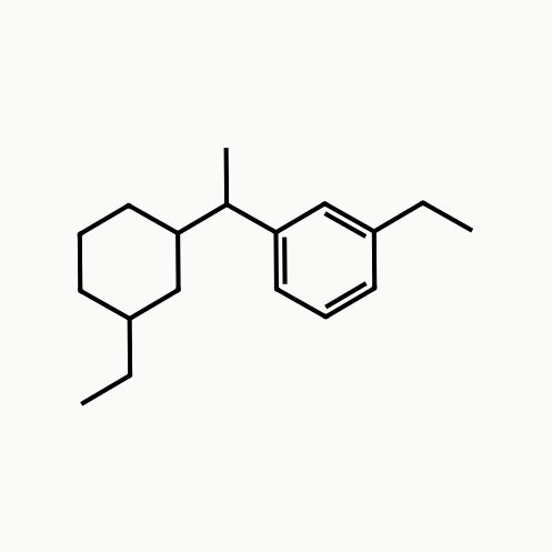 CCc1cccc(C(C)C2CCCC(CC)C2)c1